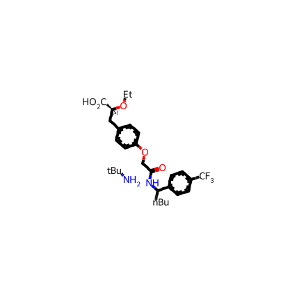 CC(C)(C)N.CCCCC(NC(=O)COc1ccc(C[C@H](OCC)C(=O)O)cc1)c1ccc(C(F)(F)F)cc1